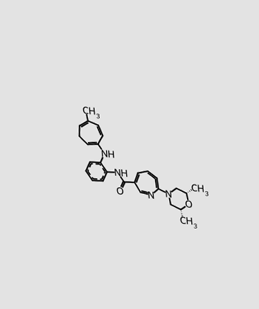 CC1=CCC=C(Nc2ccccc2NC(=O)C2=CC=C=C(N3C[C@@H](C)O[C@@H](C)C3)N=C2)C=C1